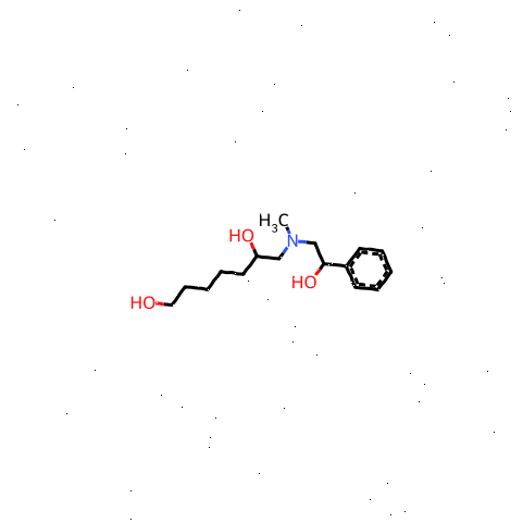 CN(CC(O)CCCCCO)CC(O)c1ccccc1